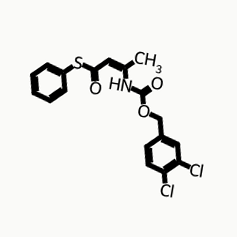 C/C(=C/C(=O)Sc1ccccc1)NC(=O)OCc1ccc(Cl)c(Cl)c1